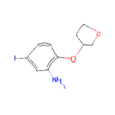 Nc1cc(I)ccc1OC1CCOC1